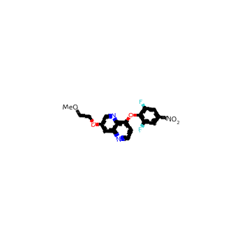 COCCOc1cnc2c(Oc3c(F)cc([N+](=O)[O-])cc3F)ccnc2c1